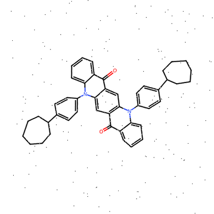 O=c1c2ccccc2n(-c2ccc(C3CCCCCC3)cc2)c2cc3c(=O)c4ccccc4n(-c4ccc(C5CCCCCC5)cc4)c3cc12